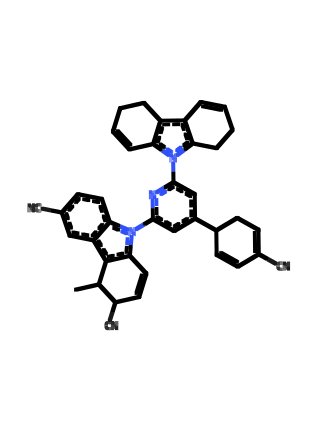 CC1c2c(n(-c3cc(C4C=CC(C#N)=CC4)cc(-n4c5c(c6c4CCC=C6)CCC=C5)n3)c3ccc(C#N)cc23)C=CC1C#N